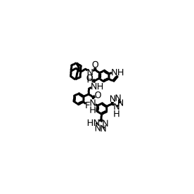 O=C(NCC(C(=O)Nc1cc(-c2nnn[nH]2)cc(-c2nnn[nH]2)c1)c1ccccc1F)c1cc2cc[nH]c2cc1C(=O)NCC12CC3CC(CC(C3)C1)C2